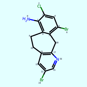 Nc1c(Cl)cc(Br)c2c1CCc1cc(Br)cnc1C2